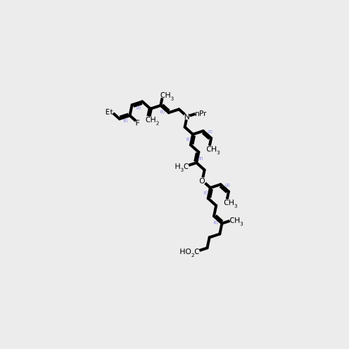 C=C(/C=C\C(F)=C/CC)/C(C)=C/CN(CCC)CC(/C=C\C)=C/C=C(\C)COC(/C=C\C)=C/C/C=C(\C)CCCC(=O)O